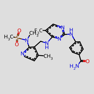 Cc1ccnc(N(C)S(C)(=O)=O)c1CNc1nc(Nc2ccc(C(N)=O)cc2)ncc1C(F)(F)F